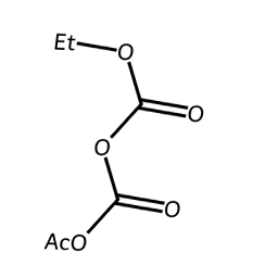 CCOC(=O)OC(=O)OC(C)=O